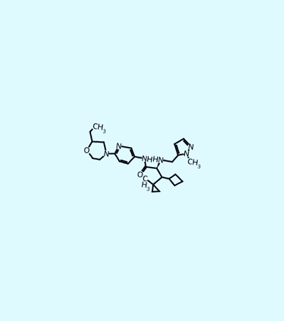 CCC1CN(c2ccc(NC(=O)[C@@H](NCc3ccnn3C)C(C3CCC3)C3(C)CC3)cn2)CCO1